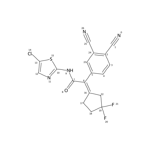 N#Cc1ccc(/C(C(=O)Nc2ncc(Cl)s2)=C2/CCC(F)(F)C2)cc1C#N